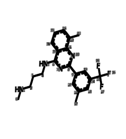 CNCCCNc1nc(-c2cc(C)cc(C(F)(F)F)c2)nc2c(C)cccc12